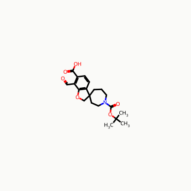 CC(C)(C)OC(=O)N1CCCC2(CC1)COc1c2ccc(C(=O)O)c1C=O